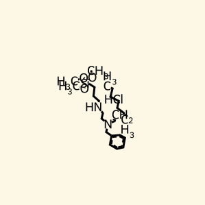 C=CN(CCNCCC[Si](OC)(OC)OC)Cc1ccccc1.CCCCCCC.Cl